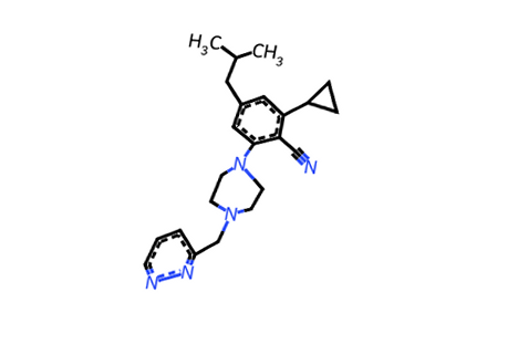 CC(C)Cc1cc(C2CC2)c(C#N)c(N2CCN(Cc3cccnn3)CC2)c1